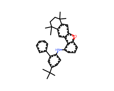 CC(C)(C)c1ccc(Nc2cccc3oc4cc5c(cc4c23)C(C)(C)CCC5(C)C)c(-c2ccccc2)c1